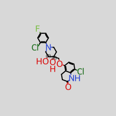 O=C1CCc2c(OC[C@]3(O)CCN(c4ccc(F)cc4Cl)C[C@H]3O)ccc(Cl)c2N1